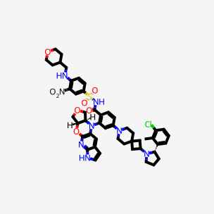 Cc1c(Cl)cccc1[C@@H]1CCCN1C1CC2(CCN(c3ccc(C(=O)NS(=O)(=O)c4ccc(NCC5CCOCC5)c([N+](=O)[O-])c4)c(N4c5cc6cc[nH]c6nc5O[C@@H]5COC[C@H]54)c3)CC2)C1